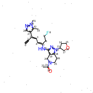 C#C/C(=C\C=C(/CCF)Nc1nn(C2CCOC2)c2c1CN(C(C)=O)CC2)c1cnn(C)c1C